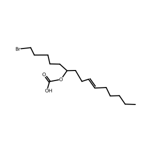 CCCCCC=CCCC(CCCCCBr)OC(=O)O